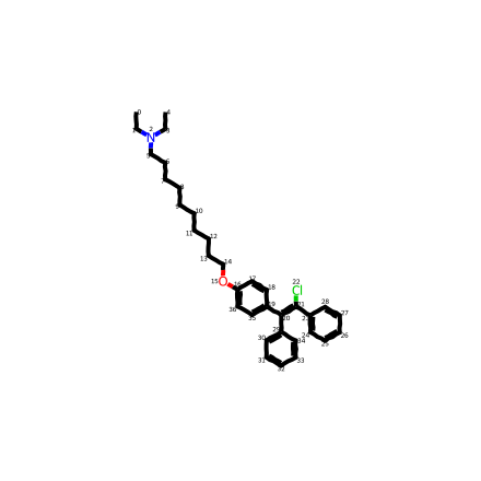 CCN(CC)CCCCCCCCCCOc1ccc(C(=C(Cl)c2ccccc2)c2ccccc2)cc1